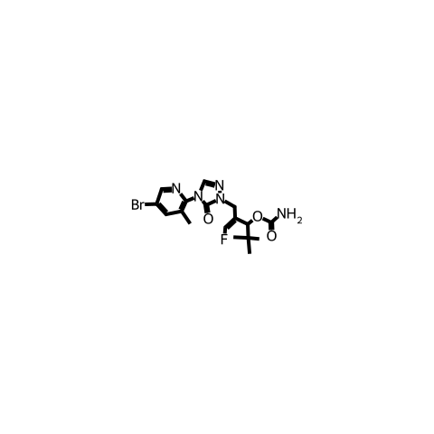 Cc1cc(Br)cnc1-n1cnn(CC(=CF)C(OC(N)=O)C(C)(C)C)c1=O